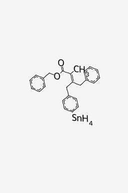 CC(C(=O)OCc1ccccc1)=C(Cc1ccccc1)Cc1ccccc1.[SnH4]